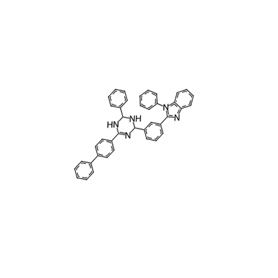 c1ccc(-c2ccc(C3=NC(c4cccc(-c5nc6ccccc6n5-c5ccccc5)c4)NC(c4ccccc4)N3)cc2)cc1